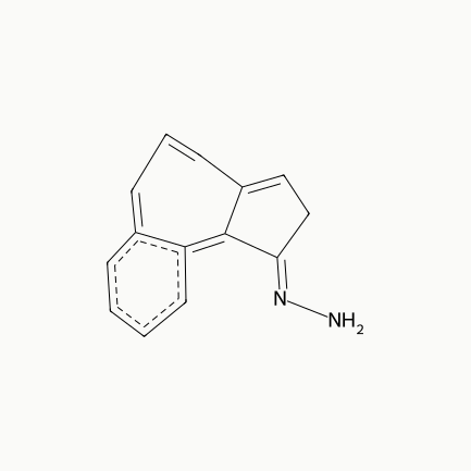 NN=C1CC=C2C=CC=c3ccccc3=C21